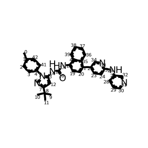 Cc1ccc(-n2nc(C(C)(C)C)cc2NC(=O)Nc2ccc(-c3ccc(Nc4cccnc4)nc3)c3ccccc23)cc1